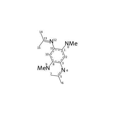 CNc1cc(N=C(C)C)c(NC)cc1N=C(C)C